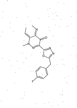 C/C=C1\C(=N/C)C(=O)C(c2nnc(Cc3ccc(F)cc3)o2)=NN1C